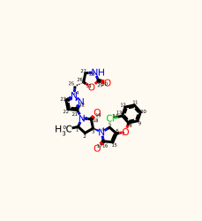 CC1C[C@H](N2CC(Oc3ccccc3Cl)=CC2=O)C(=O)N1c1ccn(C[C@@H]2CNC(=O)O2)n1